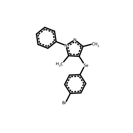 Cc1nn(-c2ccccc2)c(C)c1[Se]c1ccc(Br)cc1